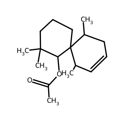 CC(=O)OC1C(C)(C)CCCC12C(C)C=CCC2C